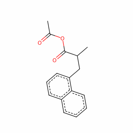 CC(=O)OC(=O)C(C)Cc1cccc2ccccc12